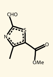 COC(=O)c1sc(C=O)nc1C